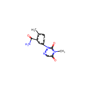 Cc1ccc(-n2ncc(=O)n(C)c2=O)cc1C(N)=O